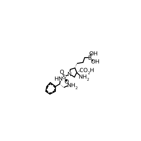 NC[C@@H](NS(=O)(=O)N1C[C@H](CCCB(O)O)[C@](N)(C(=O)O)C1)c1ccccc1